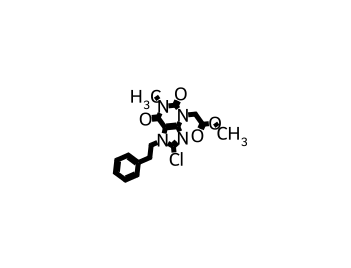 COC(=O)Cn1c(=O)n(C)c(=O)c2c1nc(Cl)n2CCc1ccccc1